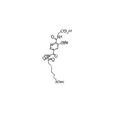 CCCCCCCCCCCCCCCCS(=O)(=O)NC(=O)c1cnc(C(=O)NCC(=O)O)c(OC)c1